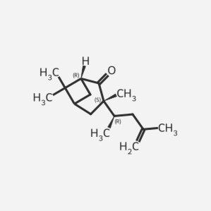 C=C(C)C[C@@H](C)[C@]1(C)CC2C[C@@H](C1=O)C2(C)C